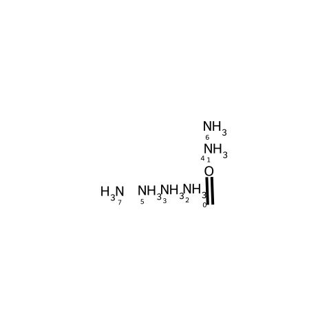 C=O.N.N.N.N.N.N